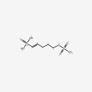 CS(=O)(=O)OCCCC=CP(=O)(O)O